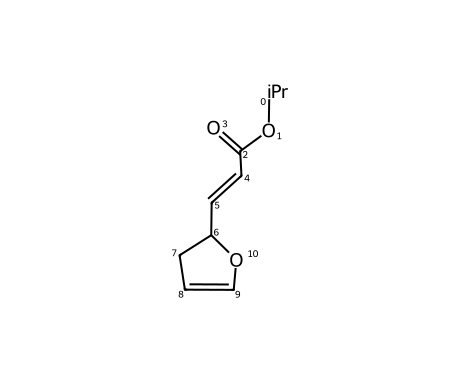 CC(C)OC(=O)/C=C/C1CC=CO1